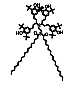 CCCCCCCCCCCCCCCCCC(=O)N(CCN(C(CCc1cc(C(C)(C)C)c(O)c(C(C)(C)C)c1)CCc1cc(C(C)(C)C)c(O)c(C(C)(C)C)c1)C(CCc1cc(C(C)(C)C)c(O)c(C(C)(C)C)c1)CCc1cc(C(C)(C)C)c(O)c(C(C)(C)C)c1)C(=O)CCCCCCCCCCCCCCCCC